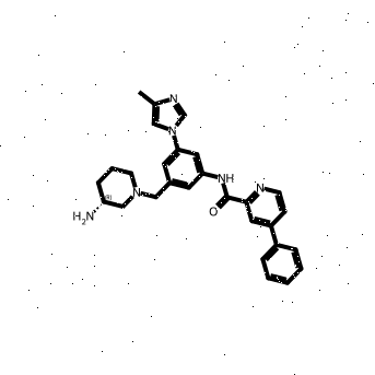 Cc1cn(-c2cc(CN3CCC[C@@H](N)C3)cc(NC(=O)c3cc(-c4ccccc4)ccn3)c2)cn1